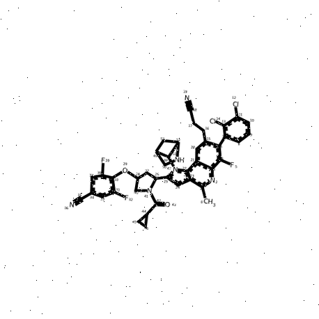 Cc1nc2c(F)c(-c3cccc(Cl)c3Cl)c(CCC#N)cc2c2c1cc(C1CC(Oc3c(F)cc(C#N)cc3F)CN1C(=O)C1CC1)n2C1C2CNC1C2